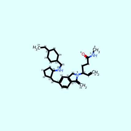 C=CC(CCC(=O)NC)N1Cc2cc(CC3CCCC3NCC3CCC(CC)CC3)ccc2C1=C